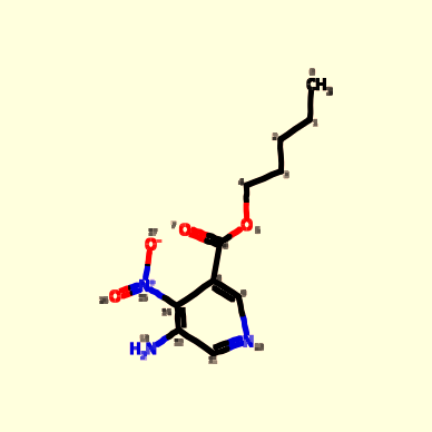 CCCCCOC(=O)c1cncc(N)c1[N+](=O)[O-]